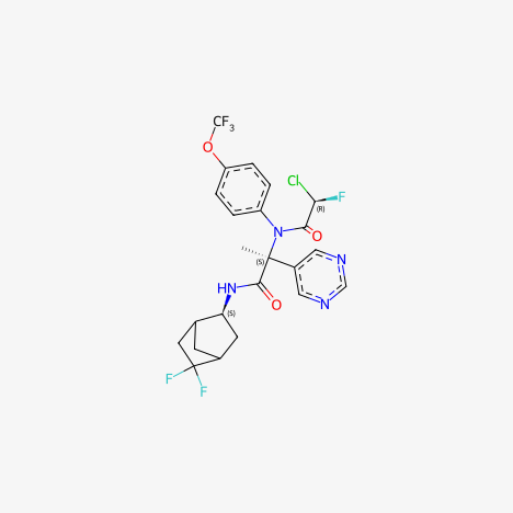 C[C@@](C(=O)N[C@H]1CC2CC1CC2(F)F)(c1cncnc1)N(C(=O)[C@H](F)Cl)c1ccc(OC(F)(F)F)cc1